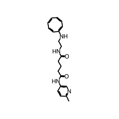 Cc1ccc(NC(=O)CCCC(=O)NCCNC2=C/C=C\C=C/C=C\2)cn1